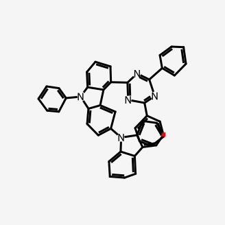 c1ccc(-c2nc(-c3ccccc3)nc(-c3cccc4c3c3cc(-n5c6ccccc6c6ccccc65)ccc3n4-c3ccccc3)n2)cc1